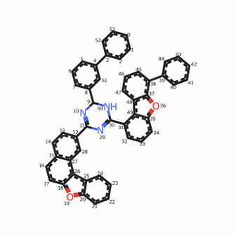 c1ccc(-c2cccc(C3N=C(c4ccc5ccc6oc7ccccc7c6c5c4)N=C(c4cccc5oc6c(-c7ccccc7)cccc6c45)N3)c2)cc1